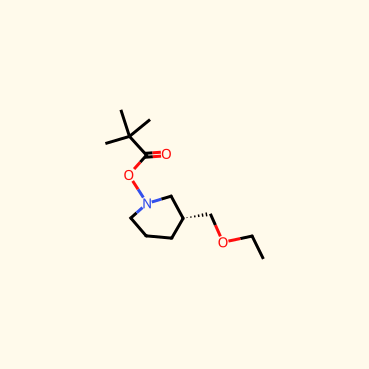 CCOC[C@@H]1CCCN(OC(=O)C(C)(C)C)C1